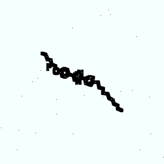 CCCCCCCCCCCc1ccc(-c2ncc(-c3ccc(OCC(F)CCCC)cc3)cn2)cc1